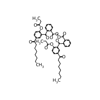 CCCCCCCC(=O)c1ccc(OC(=O)CC)c(C(=O)c2ccccc2C(=O)OOC(=O)c2ccccc2C(=O)c2cc(C(=O)CCCCCCC)ccc2OC(=O)CC)c1